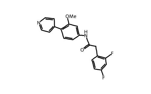 COc1cc(NC(=O)Cc2ccc(F)cc2F)ccc1-c1ccncc1